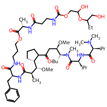 CCC(CO)OC(O)COC(=O)NCCC(=O)N[C@@H](C)C(=O)OCCCNC(=O)[C@H](Cc1ccccc1)NC(=O)[C@H](C)[C@@H](OC)[C@@H]1CCCC1C(=O)C[C@@H](OC)[C@H]([C@@H](C)CC)N(C)C(=O)[C@@H](NC(=O)[C@H](C(C)C)N(C)C)C(C)C